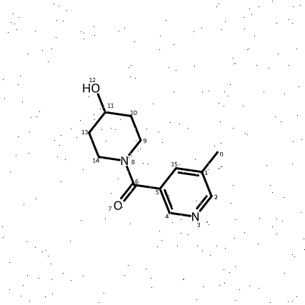 Cc1cncc(C(=O)N2CCC(O)CC2)c1